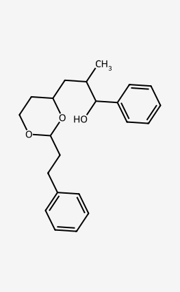 CC(CC1CCOC(CCc2ccccc2)O1)C(O)c1ccccc1